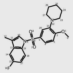 COc1ccc(S(=O)(=O)n2cc(C)c3cc(F)ccc32)cc1N1CCCCC1